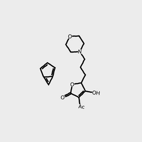 CC(=O)C1=C(O)C(CCCN2CCOCC2)OC1=O.c1cc2cc-2c1